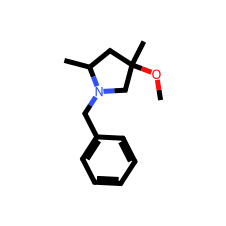 COC1(C)CC(C)N(Cc2ccccc2)C1